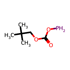 CC(C)(C)COC(=O)OP